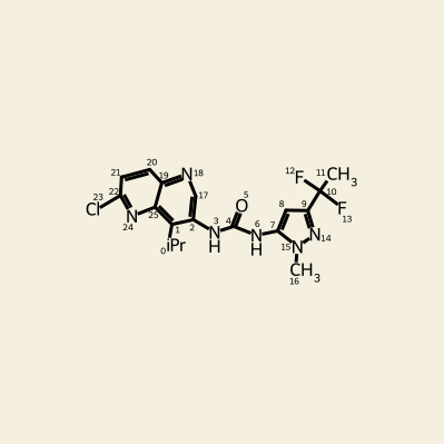 CC(C)c1c(NC(=O)Nc2cc(C(C)(F)F)nn2C)cnc2ccc(Cl)nc12